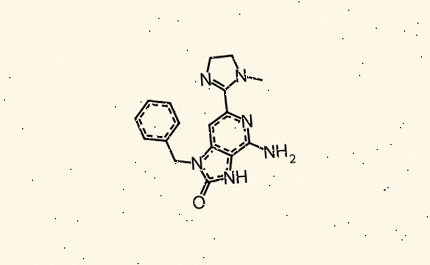 CN1CCN=C1c1cc2c([nH]c(=O)n2Cc2ccccc2)c(N)n1